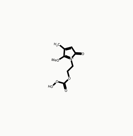 COC1=[N+](CCOC(=O)OO)C(=O)C=C1C